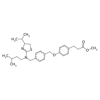 COC(=O)CCc1ccc(OCc2ccc(CN(CCC(C)C)C3=NC(C(C)C)CS3)cc2)cc1